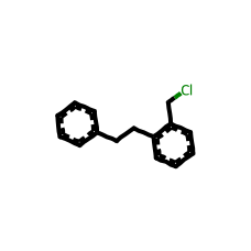 ClCc1ccccc1CCc1ccccc1